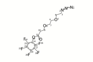 [N-]=[N+]=NCCOCCOCCC(=O)Oc1c(F)c(F)c(F)c(F)c1F